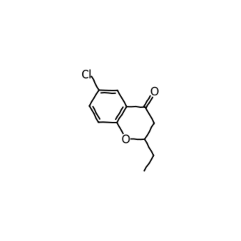 CCC1CC(=O)c2cc(Cl)ccc2O1